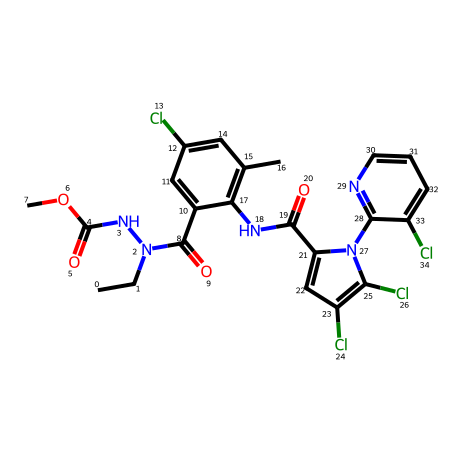 CCN(NC(=O)OC)C(=O)c1cc(Cl)cc(C)c1NC(=O)c1cc(Cl)c(Cl)n1-c1ncccc1Cl